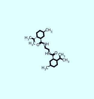 CC(C)C1CC[C@@H](C)C[C@H]1C(=O)NCCNC(=O)[C@@H]1C[C@H](C)CC[C@H]1C(C)C